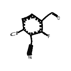 N#Cc1c(Cl)ccc(C=O)c1F